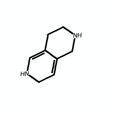 [CH]1CNCC2=CCNC=C12